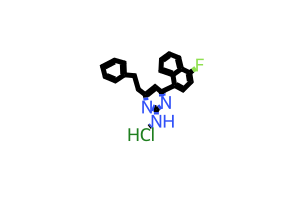 CNc1nc(CCc2ccccc2)cc(-c2ccc(F)c3ccccc23)n1.Cl